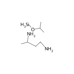 CC(C)O[SiH3].CC(N)CCN